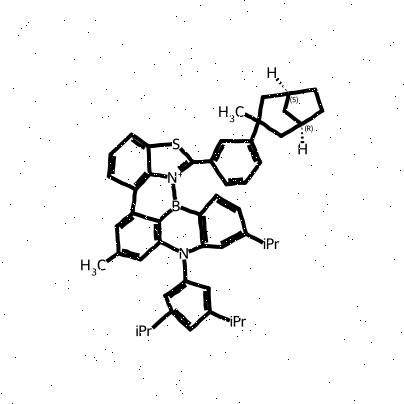 Cc1cc2c3c(c1)N(c1cc(C(C)C)cc(C(C)C)c1)c1cc(C(C)C)ccc1B3[n+]1c(-c3cccc(C4(C)C[C@@H]5CC[C@@H](C5)C4)c3)sc3cccc-2c31